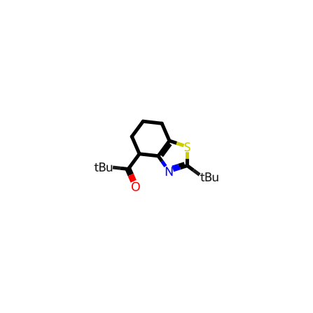 CC(C)(C)C(=O)C1CCCc2sc(C(C)(C)C)nc21